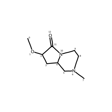 COC1CC2CN(C)CCN2C1=O